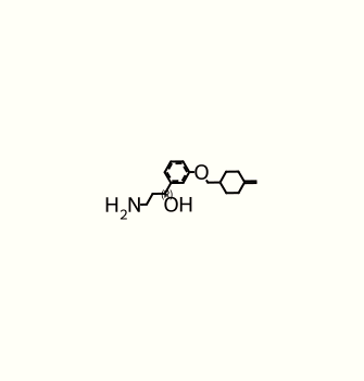 C=C1CCC(COc2cccc([C@H](O)CCN)c2)CC1